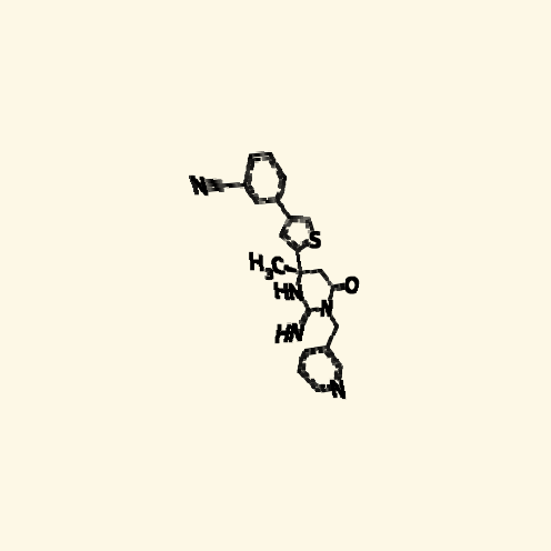 C[C@@]1(c2cc(-c3cccc(C#N)c3)cs2)CC(=O)N(Cc2cccnc2)C(=N)N1